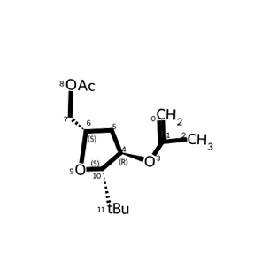 C=C(C)O[C@@H]1C[C@@H](COC(C)=O)O[C@H]1C(C)(C)C